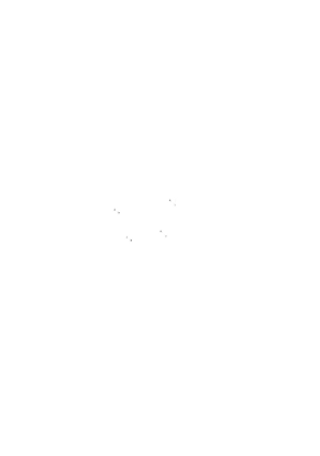 C1=NNN2CCCN12